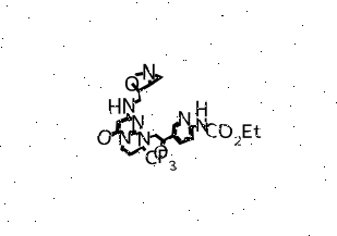 CCOC(=O)Nc1ccc(C(=O)CN2c3nc(NC[C@H]4OCN5CC45)cc(=O)n3CCC2C(F)(F)F)cn1